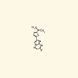 CN(C)c1ccc(-c2cn3ncc(F)nc3n2)s1